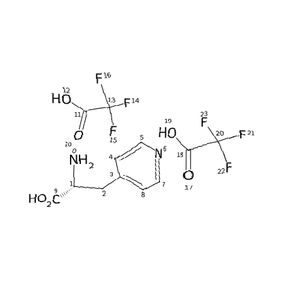 N[C@H](Cc1ccncc1)C(=O)O.O=C(O)C(F)(F)F.O=C(O)C(F)(F)F